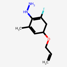 C=CCOC1C=C(C)C(NN)=C(F)C1